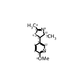 COc1ccc(C2SC(C)=N[C@@H]2C)cn1